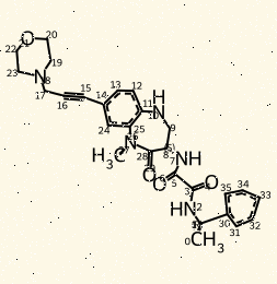 C[C@@H](NC(=O)C(=O)N[C@H]1CNc2ccc(C#CCN3CCOCC3)cc2N(C)C1=O)c1ccccc1